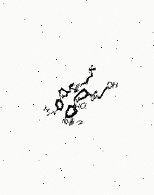 C[N+](C)(CCC[Si](C)(C)C)C1CCN(c2ccc(N)cc2)C1.C[N+](C)(CCO)C1CCN(c2ccc(N)cc2)C1.Cl